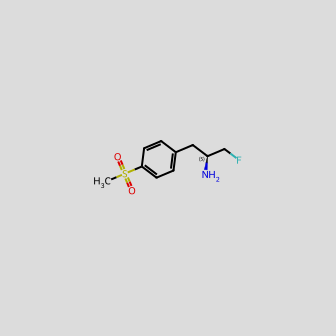 CS(=O)(=O)c1ccc(C[C@H](N)CF)cc1